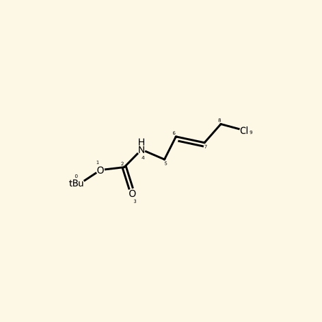 CC(C)(C)OC(=O)NC/C=C/CCl